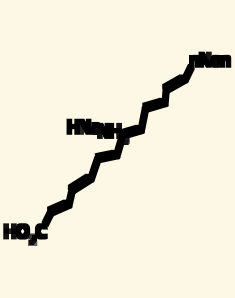 CCCCCCCCCC=CC=CC=CC=CC=CC=CC(=O)O.N.[NaH]